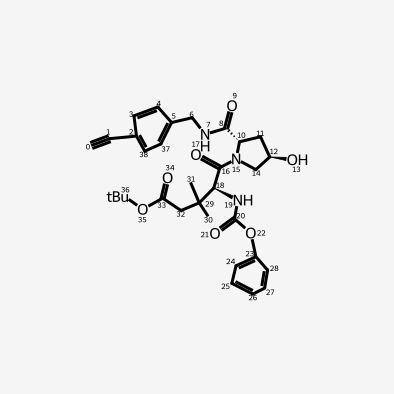 C#Cc1ccc(CNC(=O)[C@@H]2C[C@@H](O)CN2C(=O)[C@@H](NC(=O)Oc2ccccc2)C(C)(C)CC(=O)OC(C)(C)C)cc1